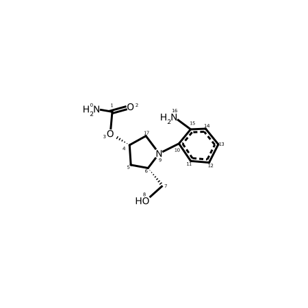 NC(=O)O[C@H]1C[C@@H](CO)N(c2ccccc2N)C1